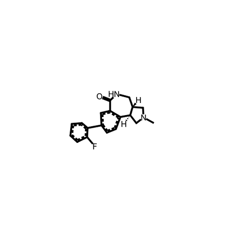 CN1C[C@H]2CNC(=O)c3cc(-c4ccccc4F)ccc3[C@@H]2C1